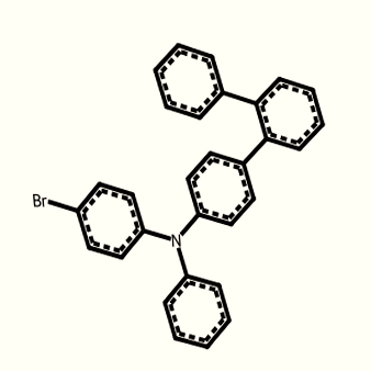 Brc1ccc(N(c2ccccc2)c2ccc(-c3ccccc3-c3ccccc3)cc2)cc1